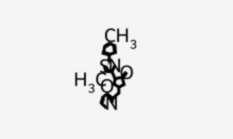 Cc1ccc(-c2nc(C3C(=O)CC(Cc4ccccn4)C3=O)c(C)s2)cc1